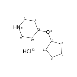 C1CCC(OC2CCNCC2)C1.Cl